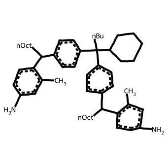 CCCCCCCCC(c1ccc(C(CCCC)(c2ccc(C(CCCCCCCC)c3ccc(N)cc3C)cc2)C2CCCCC2)cc1)c1ccc(N)cc1C